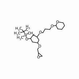 CC(C)(C)[Si](C)(C)OC1CC(OCCCOC2CCCCO2)CC(OCC2CO2)C1